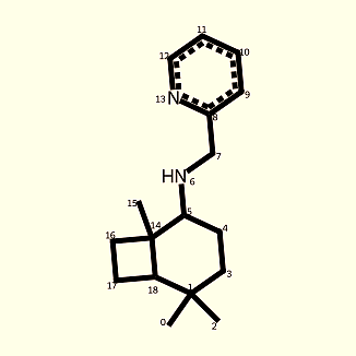 CC1(C)CCC(NCc2ccccn2)C2(C)CCC12